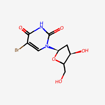 O=c1[nH]c(=O)n([C@H]2C[C@@H](O)C(CO)O2)cc1Br